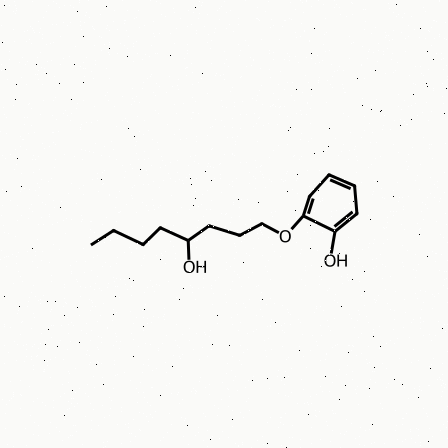 CCCCC(O)CCCOc1ccccc1O